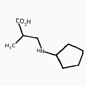 CC(CNC1CCCC1)C(=O)O